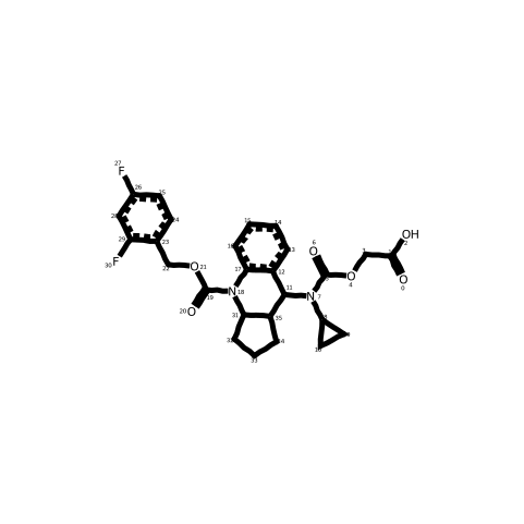 O=C(O)COC(=O)N(C1CC1)C1c2ccccc2N(C(=O)OCc2ccc(F)cc2F)C2CCCC21